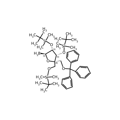 B[C@@H]1O[C@](COC(c2ccccc2)(c2ccccc2)c2ccccc2)(CO[Si](C)(C)C(C)(C)C)[C@@H](O[Si](C)(C)C(C)(C)C)[C@H]1O[Si](C)(C)C(C)(C)C